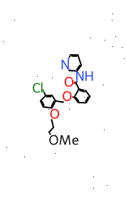 COCCCOc1ccc(Cl)cc1COc1ccccc1C(=O)Nc1cccnc1